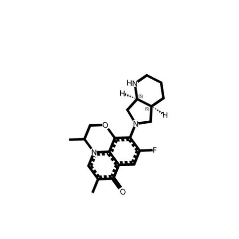 Cc1cn2c3c(c(N4C[C@@H]5CCCN[C@@H]5C4)c(F)cc3c1=O)OCC2C